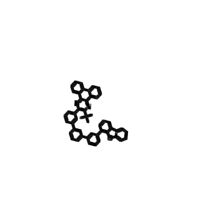 CC(C)(C)c1nc2c3ccccc3c3ccccc3c2nc1-c1cccc(-c2cccc(-c3cccc(-c4cccc5c4oc4ccccc45)c3)c2)c1